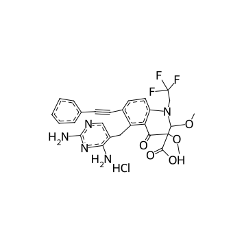 COC1N(CC(F)(F)F)c2ccc(C#Cc3ccccc3)c(Cc3cnc(N)nc3N)c2C(=O)C1(OC)C(=O)O.Cl